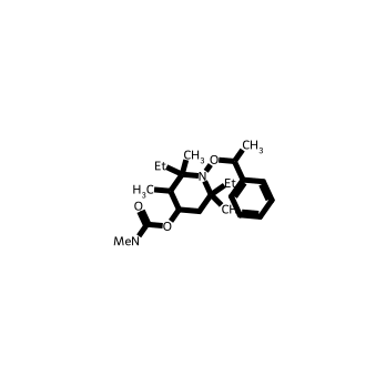 CCC1(C)CC(OC(=O)NC)C(C)C(C)(CC)N1OC(C)c1ccccc1